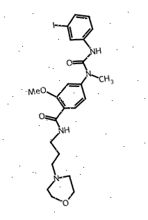 COc1cc(N(C)C(=O)Nc2cccc(I)c2)ccc1C(=O)NCCCN1CCOCC1